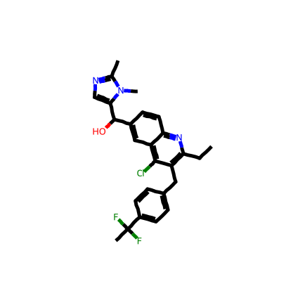 CCc1nc2ccc(C(O)c3cnc(C)n3C)cc2c(Cl)c1Cc1ccc(C(C)(F)F)cc1